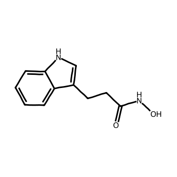 O=C(CCc1c[nH]c2ccccc12)NO